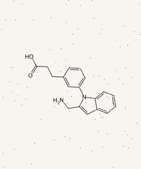 NCc1cc2ccccc2n1-c1cccc(CCC(=O)O)c1